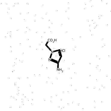 Cl.Nc1ccn(CC(=O)O)n1